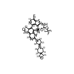 CC(C)(C)OC(=O)Nc1sc2c(F)cnc(-c3c4c(c5cnc(N6CC[C@@H](N7CCC8(CC7)COC8)C6)nc5c3F)COC4)c2c1C#N